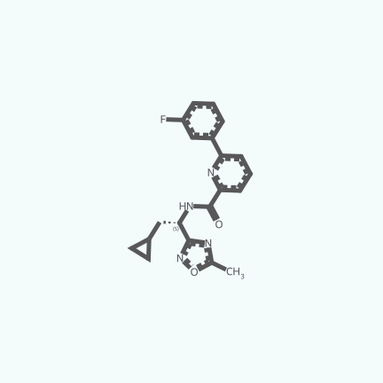 Cc1nc([C@H](CC2CC2)NC(=O)c2cccc(-c3cccc(F)c3)n2)no1